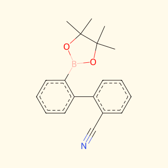 CC1(C)OB(c2ccccc2-c2ccccc2C#N)OC1(C)C